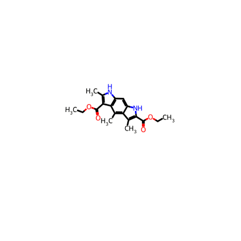 CCOC(=O)c1[nH]c2cc3[nH]c(C)c(C(=O)OCC)c3c(C)c2c1C